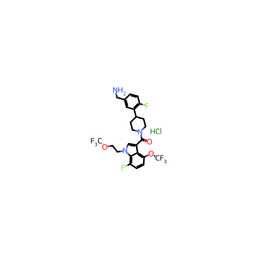 Cl.NCc1ccc(F)c(C2CCN(C(=O)c3cn(CCOC(F)(F)F)c4c(F)ccc(OC(F)(F)F)c34)CC2)c1